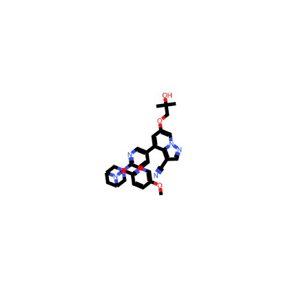 COc1ccc(CN2C3CC2CN(c2ccc(-c4cc(OCC(C)(C)O)cn5ncc(C#N)c45)cn2)C3)nc1